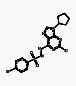 O=S(=O)(NNc1nc(Cl)nc2c1ncn2C1CCCC1)c1ccc(Br)cc1